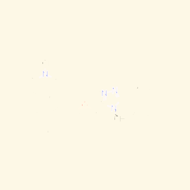 CN1CCC(c2cccc3ccc(OCc4nnc(-c5ccccc5)n4C)cc23)CC1